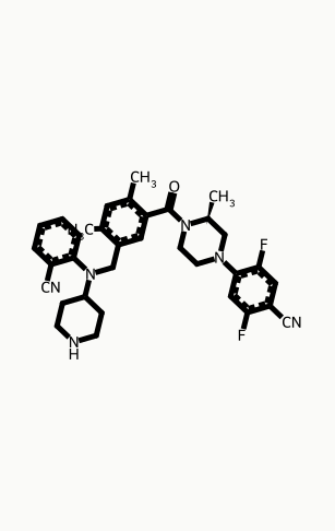 Cc1cc(C)c(C(=O)N2CCN(c3cc(F)c(C#N)cc3F)C[C@@H]2C)cc1CN(c1ccccc1C#N)C1CCNCC1